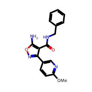 COc1ccc(-c2noc(N)c2C(=O)NCc2ccccc2)cn1